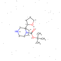 CC(C)(C)OC(=O)N1C2CCC1(C1CCCO1)CNC2